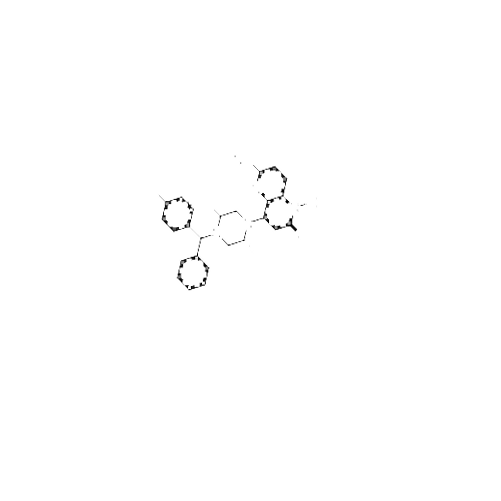 CC1CN(c2cc(=O)n(C)c3ccc(C#N)nc23)[C@@H](C)CN1C(c1ccccc1)c1ccc(F)cc1